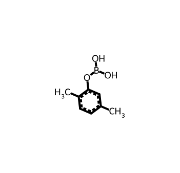 Cc1ccc(C)c(OB(O)O)c1